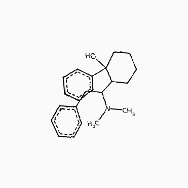 CN(C)C(Cc1ccccc1)C1CCCCC1(O)c1ccccc1